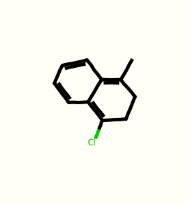 CC1=c2ccccc2=C(Cl)CC1